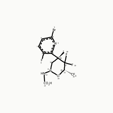 C[C@]1(c2nc(Br)ccc2F)CN(NC(=O)O)O[C@@H](C(F)(F)F)C1(F)F